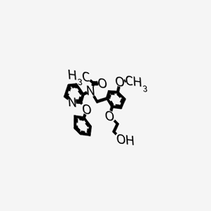 COc1ccc(OCCO)c(CN(C(C)=O)c2cccnc2Oc2ccccc2)c1